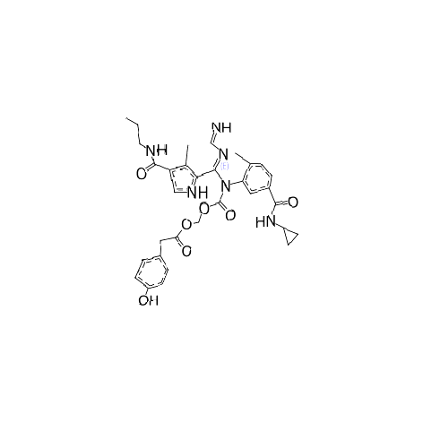 CCCNC(=O)c1c[nH]c(/C(=N\C=N)N(C(=O)OCOC(=O)Cc2ccc(O)cc2)c2cc(C(=O)NC3CC3)ccc2C)c1C